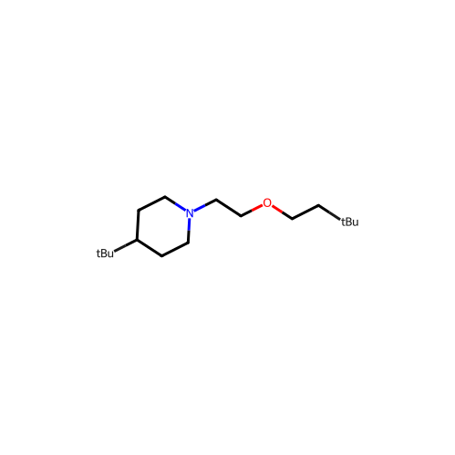 CC(C)(C)CCOCCN1CCC(C(C)(C)C)CC1